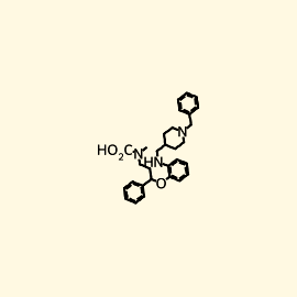 CN(CCC(Oc1ccccc1NCC1CCN(Cc2ccccc2)CC1)c1ccccc1)C(=O)O